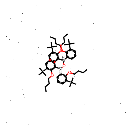 CCCCOc1c([SiH](O[SiH](c2cccc(C(C)(C)C)c2OCCCC)c2cccc(C(C)(C)C)c2OCCCC)c2cccc(C(C)(C)C)c2OCCCC)cccc1C(C)(C)C